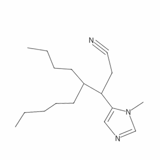 CCCCCC(CCCC)C(CC#N)c1cncn1C